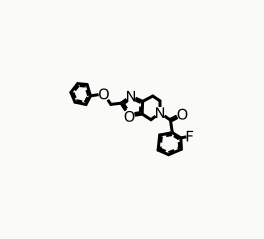 O=C(c1ccccc1F)N1CCc2nc(COc3ccccc3)oc2C1